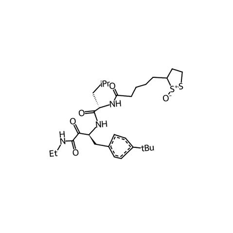 CCNC(=O)C(=O)[C@H](Cc1ccc(C(C)(C)C)cc1)NC(=O)[C@H](CC(C)C)NC(=O)CCCCC1CCS[S+]1[O-]